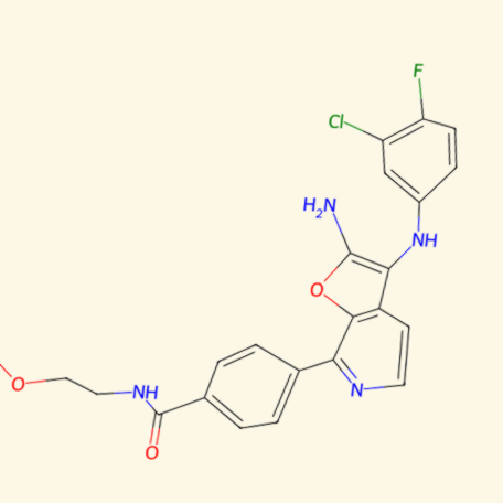 COCCNC(=O)c1ccc(-c2nccc3c(Nc4ccc(F)c(Cl)c4)c(N)oc23)cc1